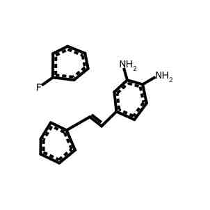 Fc1ccccc1.Nc1ccc(C=Cc2ccccc2)cc1N